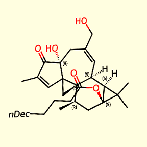 CCCCCCCCCCCCCC(=O)O[C@@]12C[C@@H](C)[C@]34CC35C=C(C)C(=O)[C@@]5(O)CC(CO)=C[C@H]4[C@H]1C2(C)C